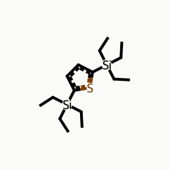 CC[Si](CC)(CC)c1ccc([Si](CC)(CC)CC)s1